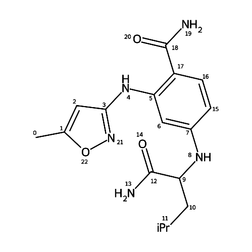 Cc1cc(Nc2cc(NC(CC(C)C)C(N)=O)ccc2C(N)=O)no1